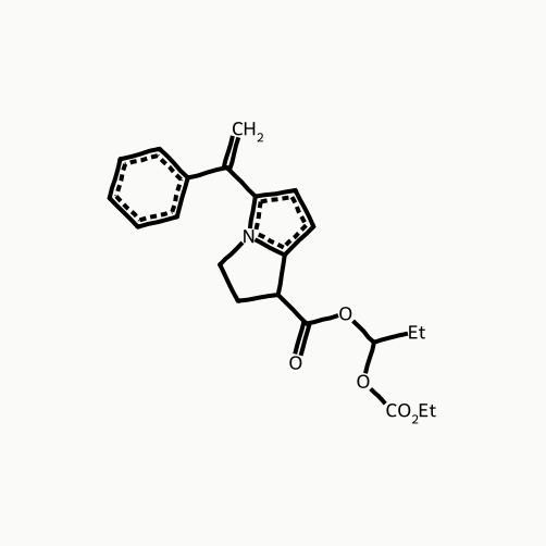 C=C(c1ccccc1)c1ccc2n1CCC2C(=O)OC(CC)OC(=O)OCC